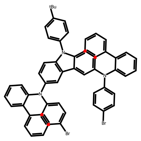 CC(C)(C)c1ccc(-n2c3ccc(N(c4ccc(Br)cc4)c4ccccc4-c4ccccc4)cc3c3cc(N(c4ccc(Br)cc4)c4ccccc4-c4ccccc4)ccc32)cc1